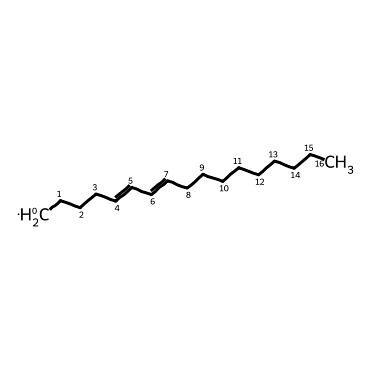 [CH2]CCCC=CC=CCCCCCCCCC